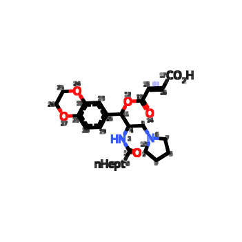 CCCCCCCC(=O)NC(CN1CCCC1)C(OC(=O)/C=C/C(=O)O)c1ccc2c(c1)OCCO2